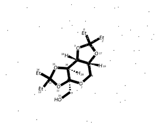 CCC1(CC)O[C@@H]2[C@@H](CO[C@@]3(CO)OC(CC)(CC)O[C@@H]23)O1